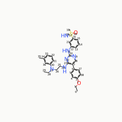 CCOc1ccc(-c2cnc(Nc3cccc(S(C)(=N)=O)c3)nc2NCCN(CC)c2cccc(C)c2)cc1